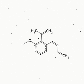 C=C/C=C\c1cccc(OI)c1C(=C)C